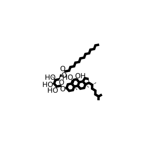 CCCCCCCCCCCCCC(=O)OC[C@H]1O[C@H](OC2CC[C@@]3(C)C(=C(O)C(O)C4C3CC[C@@]3(C)C4CC[C@@H]3[C@H](C)CCCC(C)C)C2)[C@H](O)[C@@H](O)[C@@H]1O